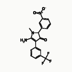 CN1C(N)=C(c2cccc(C(F)(F)F)c2)C(=O)C1c1cccc([N+](=O)[O-])c1